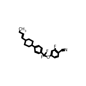 CCC=CC1CCC(c2ccc(C(F)(F)Oc3ccc(C#N)c(F)c3)cc2)CC1